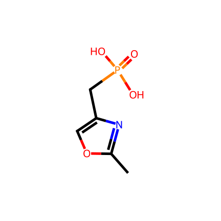 Cc1nc(CP(=O)(O)O)co1